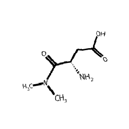 CN(C)C(=O)[C@@H](N)CC(=O)O